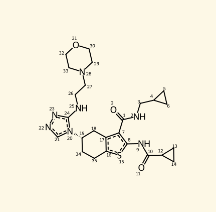 O=C(NCC1CC1)c1c(NC(=O)C2CC2)sc2c1C[C@@H](n1cnnc1NCCN1CCOCC1)CC2